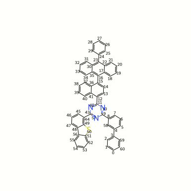 c1ccc(-c2cccc(-c3nc(-c4ccc(-c5c6ccccc6c(-c6ccccc6)c6ccccc56)c5ccccc45)nc(-c4cccc5c4sc4ccccc45)n3)c2)cc1